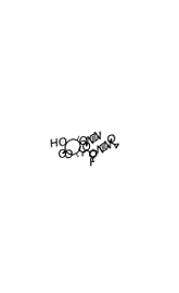 CC(=C\c1cc(F)cc(N2CCN(C(=O)C3CC3)CC2)c1)/C1=C/[C@H](OC(=O)N2CCN(C)CC2)[C@H](C)CC[C@@H](O)CC(=O)OC[C@@H]1C